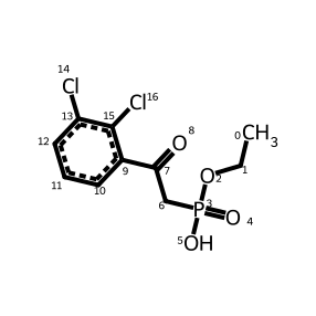 CCOP(=O)(O)CC(=O)c1cccc(Cl)c1Cl